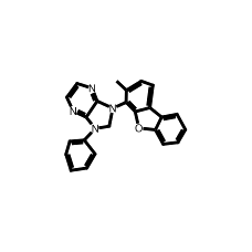 Cc1ccc2c(oc3ccccc32)c1N1CN(c2ccccc2)c2nccnc21